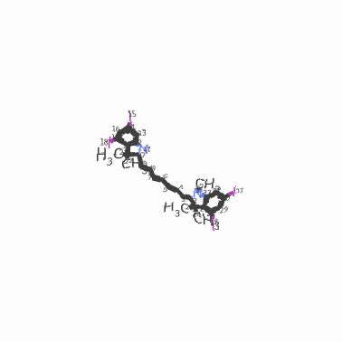 CN1\C(=C/C=C/C=C/C=C/C2=Nc3cc(I)cc(I)c3C2(C)C)C(C)(C)c2c(I)cc(I)cc21